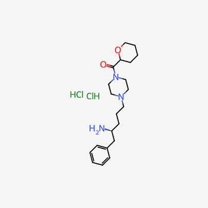 Cl.Cl.N[C@@H](CCCN1CCN(C(=O)C2CCCCO2)CC1)Cc1ccccc1